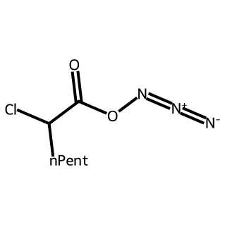 CCCCCC(Cl)C(=O)ON=[N+]=[N-]